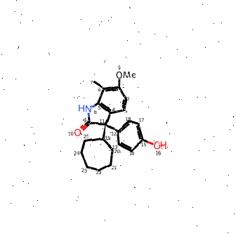 COc1ccc2c(c1C)NC(=O)[C@]2(c1ccc(O)cc1)C1CCCCCC1